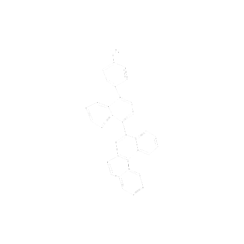 N#Cc1ccc(-c2ccc(-c3cc4ccc5ccccc5c4c4ccccc34)c3ccccc23)cc1